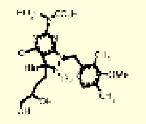 COc1c(C)cnc(CN2c3nc(N(C(=O)O)C(=O)O)nc(Cl)c3C(CCC(O)CO)(C(C)(C)C)N2C(C)(C)C)c1C